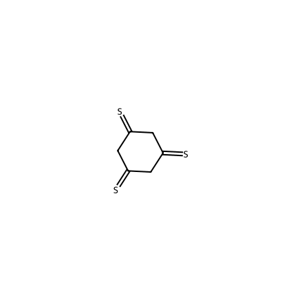 S=C1CC(=S)CC(=S)C1